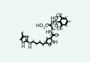 Cc1c[nH]c(NCCCCC2CC(C(=O)NCC(NS(=O)(=O)c3c(Cl)cccc3Cl)C(=O)O)NO2)n1